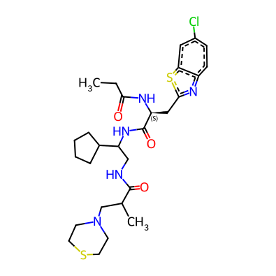 CCC(=O)N[C@@H](Cc1nc2ccc(Cl)cc2s1)C(=O)NC(CNC(=O)C(C)CN1CCSCC1)C1CCCC1